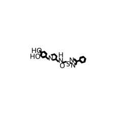 O=C(CSc1ncc(-c2ccccc2)cn1)NCC1CCCN(Cc2ccc(O)c(O)c2)C1